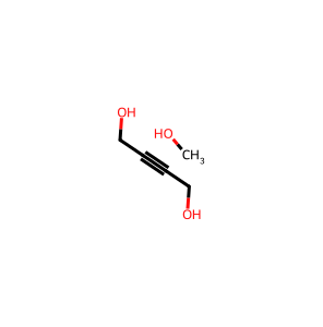 CO.OCC#CCO